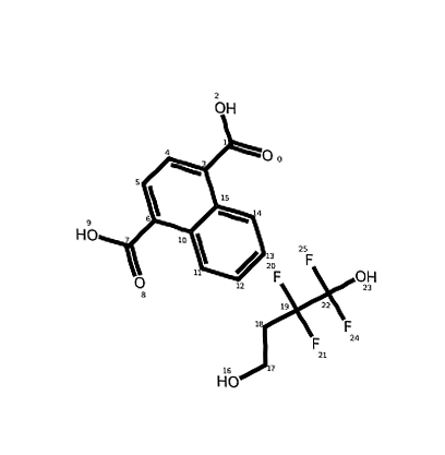 O=C(O)c1ccc(C(=O)O)c2ccccc12.OCCC(F)(F)C(O)(F)F